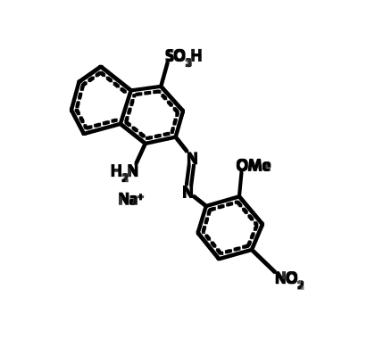 COc1cc([N+](=O)[O-])ccc1N=Nc1cc(S(=O)(=O)O)c2ccccc2c1N.[Na+]